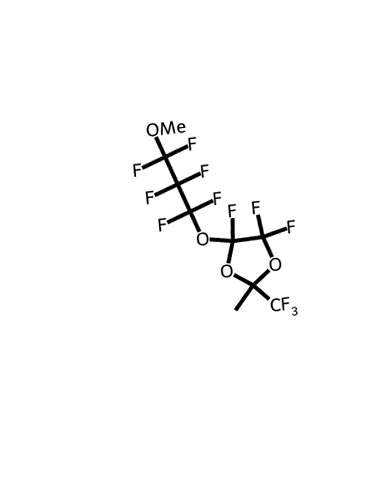 COC(F)(F)C(F)(F)C(F)(F)OC1(F)OC(C)(C(F)(F)F)OC1(F)F